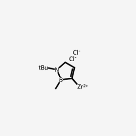 CB1[C]([Zr+2])=CCN1C(C)(C)C.[Cl-].[Cl-]